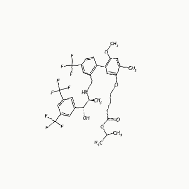 COc1cc(C)c(OCCCC(=O)OC(C)C)cc1-c1ccc(C(F)(F)F)cc1CN[C@@H](C)[C@H](O)c1cc(C(F)(F)F)cc(C(F)(F)F)c1